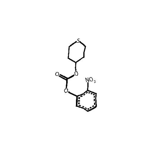 O=C(Oc1ccccc1[N+](=O)[O-])OC1CCSCC1